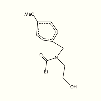 CCC(=O)N(CCO)Cc1ccc(OC)cc1